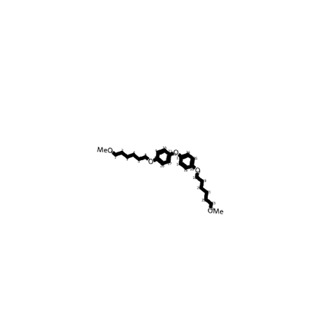 COCCCCCCOc1ccc(Oc2ccc(OCCCCCCOC)cc2)cc1